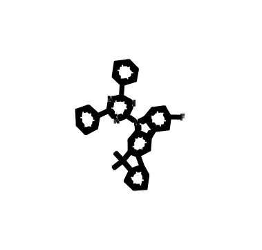 CC1(C)c2ccccc2-c2cc3c4cc(F)ccc4n(-c4nc(-c5ccccc5)nc(-c5ccccc5)n4)c3cc21